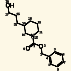 O=C(OCc1ccccc1)N1CCCC(CCCO)C1